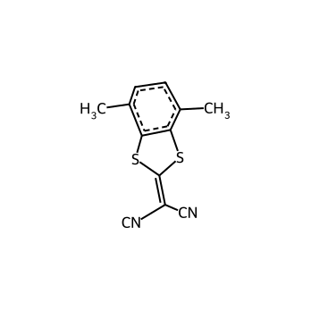 [C-]#[N+]C(C#N)=C1Sc2c(C)ccc(C)c2S1